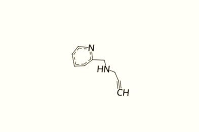 C#CCNCc1ccccn1